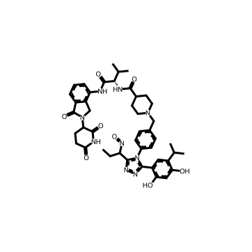 CCC(N=O)c1nnc(-c2cc(C(C)C)c(O)cc2O)n1-c1ccc(CN2CCC(C(=O)N[C@H](C(=O)Nc3cccc4c3CN(C3CCC(=O)NC3=O)C4=O)C(C)C)CC2)cc1